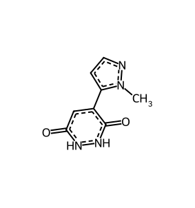 Cn1nccc1-c1cc(=O)[nH][nH]c1=O